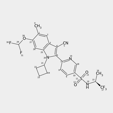 Cc1cc2c(C#N)c(-c3ccc(S(=O)(=O)N[C@@H](C)C(F)(F)F)cn3)n(C3CCC3)c2cc1OC(F)F